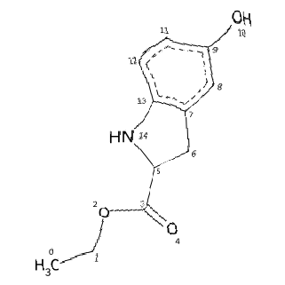 CCOC(=O)C1Cc2cc(O)ccc2N1